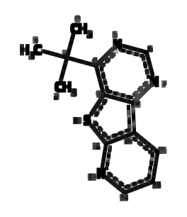 CC(C)(C)c1ncnc2c1sc1ncccc12